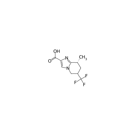 C[C@@H]1CC(C(F)(F)F)Cn2cc(C(=O)O)nc21